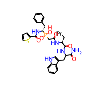 CC(C)C[C@H](NC(=O)CP(=O)(O)[C@@H](Cc1ccccc1)NC(=O)c1cccs1)C(=O)NC(Cc1c[nH]c2ccccc12)C(N)=O